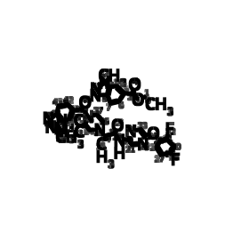 CCOC(=O)c1ccc2nnn(C)c2c1.C[C@@H](C(=O)Nc1cnc(Oc2ccc(F)cc2F)cn1)N1CCN(C(=O)c2ccc3nnn(C)c3c2)C(C)(C)C1